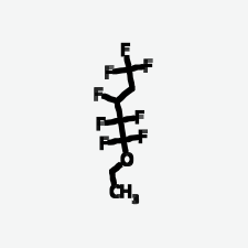 CCOC(F)(F)C(F)(F)C(F)CC(F)(F)F